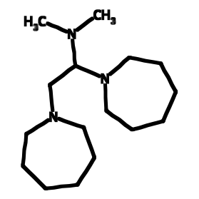 CN(C)C(CN1CCCCCC1)N1CCCCCC1